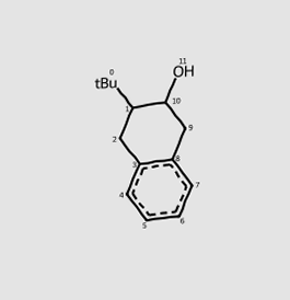 CC(C)(C)C1Cc2ccccc2CC1O